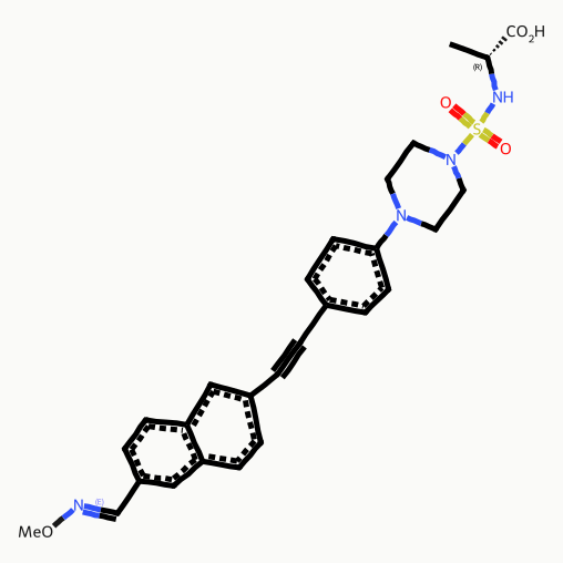 CO/N=C/c1ccc2cc(C#Cc3ccc(N4CCN(S(=O)(=O)N[C@H](C)C(=O)O)CC4)cc3)ccc2c1